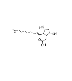 COCCCCCCC=C[C@@H]1[C@@H](CC(=O)O)[C@@H](O)C[C@H]1O